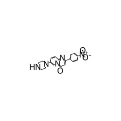 O=c1cc(-c2ccc([N+](=O)[O-])cc2)nc2ccc(N3CCNCC3)cn12